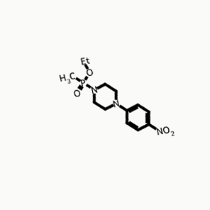 CCOP(C)(=O)N1CCN(c2ccc([N+](=O)[O-])cc2)CC1